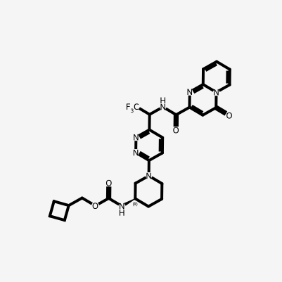 O=C(N[C@@H]1CCCN(c2ccc(C(NC(=O)c3cc(=O)n4ccccc4n3)C(F)(F)F)nn2)C1)OCC1CCC1